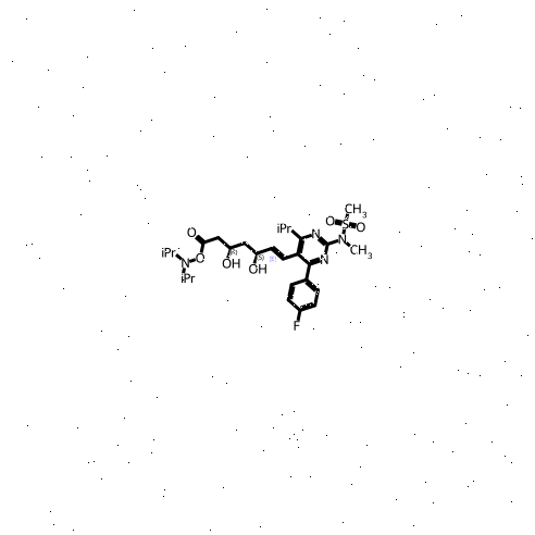 CC(C)c1nc(N(C)S(C)(=O)=O)nc(-c2ccc(F)cc2)c1/C=C/[C@@H](O)C[C@@H](O)CC(=O)ON(C(C)C)C(C)C